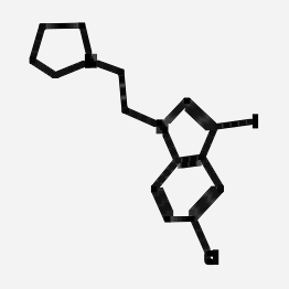 Clc1ccc2c(c1)c(I)cn2CCN1CCCC1